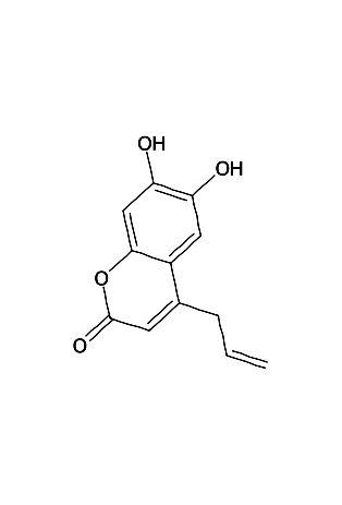 C=CCc1cc(=O)oc2cc(O)c(O)cc12